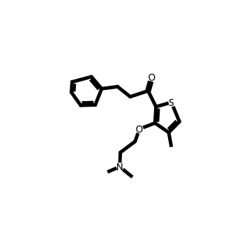 Cc1csc(C(=O)CCc2ccccc2)c1OCCN(C)C